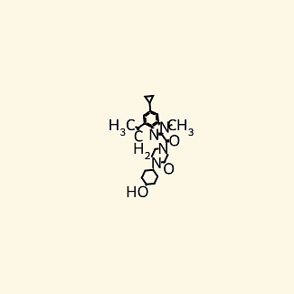 C=C(C)c1cc(C2CC2)cc2c1nc(C(=O)N1CCN([C@H]3CC[C@H](O)CC3)C(=O)C1)n2C